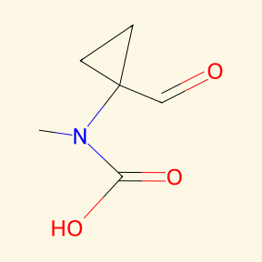 CN(C(=O)O)C1(C=O)CC1